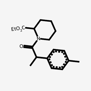 CCOC(=O)C1CCCCN1C(=O)C(C)c1ccc(C)cc1